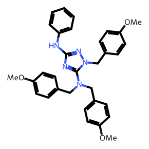 COc1ccc(CN(Cc2ccc(OC)cc2)c2nc(Nc3ccccc3)nn2Cc2ccc(OC)cc2)cc1